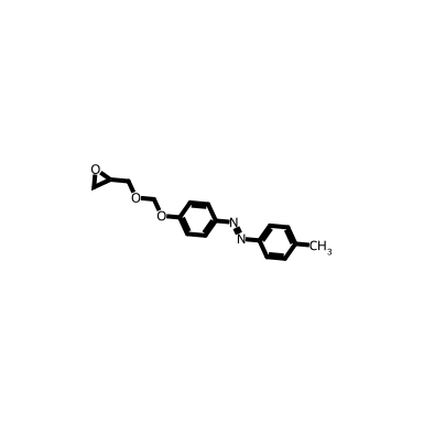 Cc1ccc(N=Nc2ccc(OCOCC3CO3)cc2)cc1